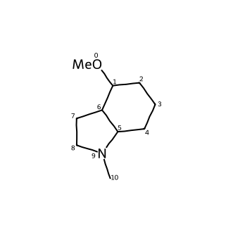 COC1CCCC2C1CCN2C